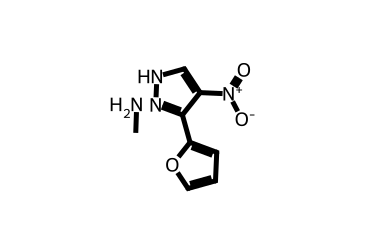 CN.O=[N+]([O-])c1c[nH]nc1-c1ccco1